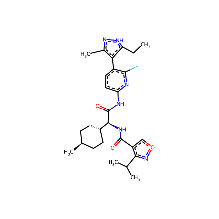 CCc1[nH]nc(C)c1-c1ccc(NC(=O)[C@@H](NC(=O)c2conc2C(C)C)[C@H]2CC[C@H](C)CC2)nc1F